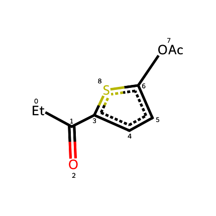 CCC(=O)c1ccc(OC(C)=O)s1